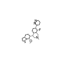 COc1c(C2CN(C)Cc3c2ccc(-c2cccnn2)c3F)ccc2ccsc12